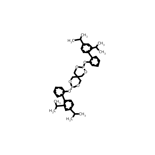 CC(C)c1ccc(-c2ccccc2OP2OCC3(CO2)COP(Oc2ccccc2-c2ccc(C(C)C)cc2C(C)C)OC3)c(C(C)C)c1